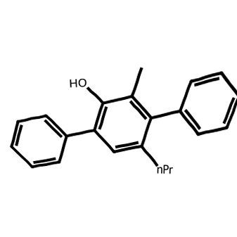 CCCc1cc(-c2ccccc2)c(O)c(C)c1-c1ccccc1